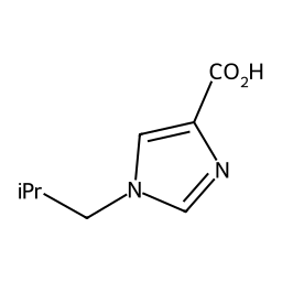 CC(C)Cn1cnc(C(=O)O)c1